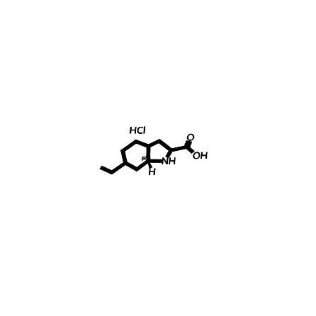 CCC1CCC2CC(C(=O)O)N[C@@H]2C1.Cl